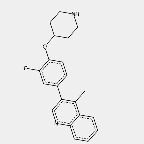 Cc1c(-c2ccc(OC3CCNCC3)c(F)c2)cnc2ccccc12